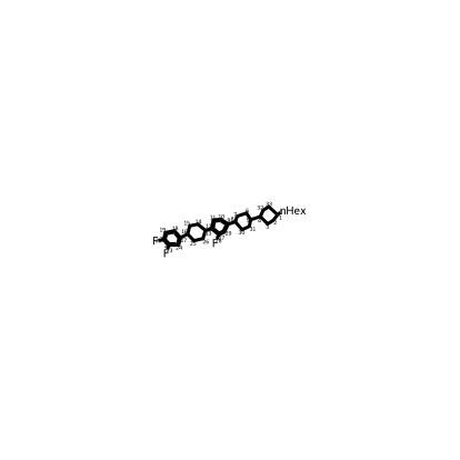 CCCCCCC1CCC(C2CCC(c3ccc(C4CCC(c5ccc(F)c(F)c5)CC4)c(F)c3)CC2)CC1